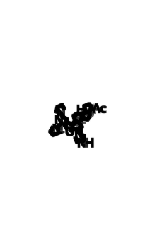 CC(=O)[C@H]1CC[C@H]2[C@@H]3CCC4=C(c5cc(N6CCCC6)nc(N6CCCC6)n5)C(=O)C(N5CCNCC5)=C[C@]4(C)C3=CC[C@]12C